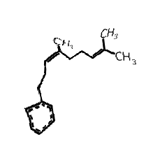 CC(C)=CCCC(C)=CCCc1ccccc1